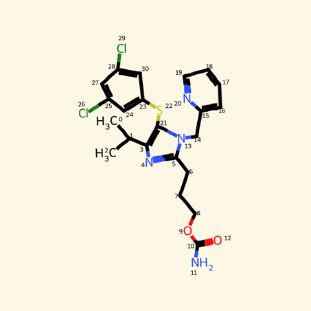 CC(C)c1nc(CCCOC(N)=O)n(Cc2ccccn2)c1Sc1cc(Cl)cc(Cl)c1